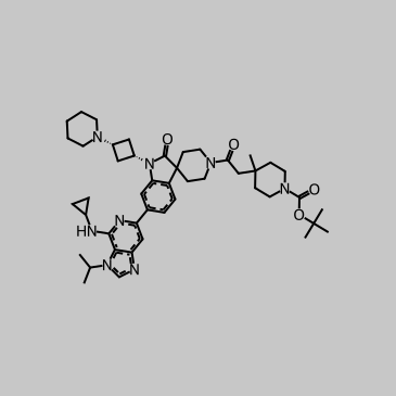 CC(C)n1cnc2cc(-c3ccc4c(c3)N([C@H]3C[C@@H](N5CCCCC5)C3)C(=O)C43CCN(C(=O)CC4(C)CCN(C(=O)OC(C)(C)C)CC4)CC3)nc(NC3CC3)c21